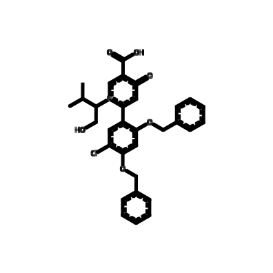 CC(C)C(CO)n1cc(C(=O)O)c(=O)cc1-c1cc(Cl)c(OCc2ccccc2)cc1OCc1ccccc1